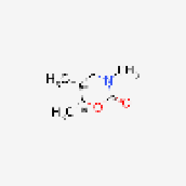 C[C@@H]1CN(C)C(=O)O[C@@H]1C